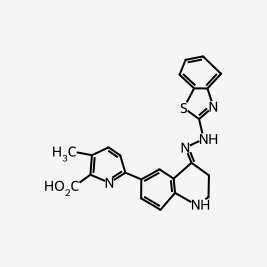 Cc1ccc(-c2ccc3c(c2)/C(=N/Nc2nc4ccccc4s2)CCN3)nc1C(=O)O